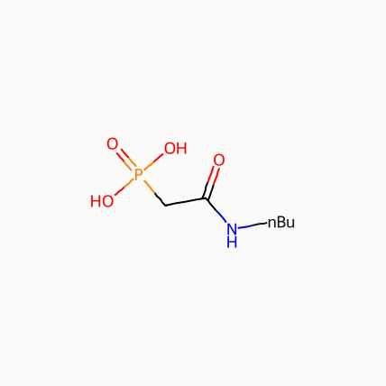 CCCCNC(=O)CP(=O)(O)O